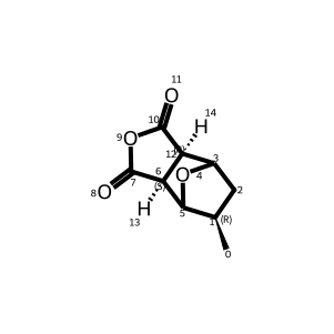 C[C@@H]1CC2OC1[C@H]1C(=O)OC(=O)[C@@H]21